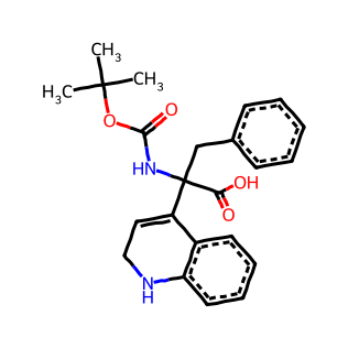 CC(C)(C)OC(=O)NC(Cc1ccccc1)(C(=O)O)C1=CCNc2ccccc21